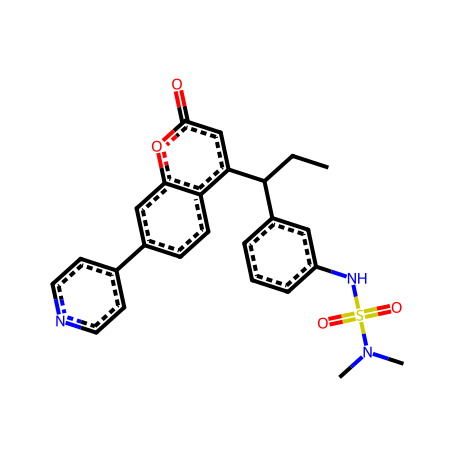 CCC(c1cccc(NS(=O)(=O)N(C)C)c1)c1cc(=O)oc2cc(-c3ccncc3)ccc12